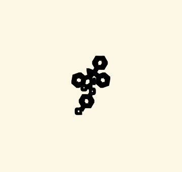 CN(C(=O)Oc1ccc(Cl)cc1)C1(c2ccccc2)CC1(c1ccccc1)c1ccccc1